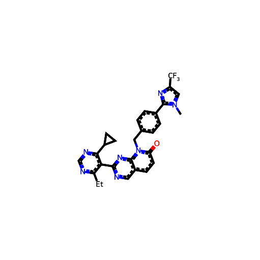 CCc1ncnc(C2CC2)c1-c1ncc2ccc(=O)n(Cc3ccc(-c4nc(C(F)(F)F)cn4C)cc3)c2n1